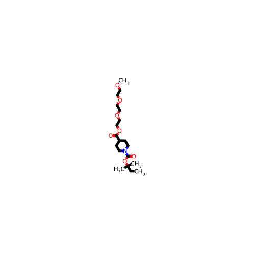 CCC(C)(C)OC(=O)N1CCC(C(=O)OCCOCCOCCOC)CC1